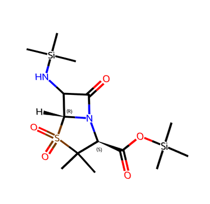 CC1(C)[C@H](C(=O)O[Si](C)(C)C)N2C(=O)C(N[Si](C)(C)C)[C@H]2S1(=O)=O